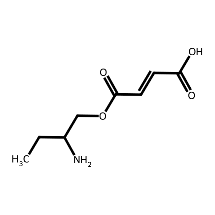 CCC(N)COC(=O)C=CC(=O)O